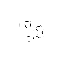 Cl.Nc1cc(-c2c[nH]c3nccc(Oc4cccc(F)c4)c23)ncn1